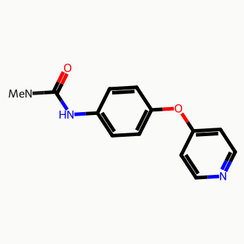 CNC(=O)Nc1ccc(Oc2ccncc2)cc1